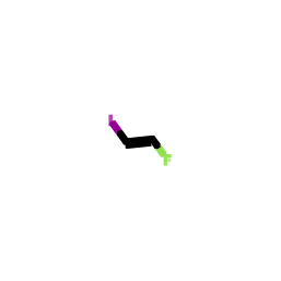 FC=CI